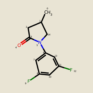 CC1CC(=O)N(c2cc(F)cc(F)c2)C1